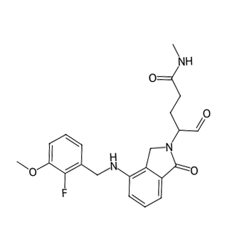 CNC(=O)CCC(C=O)N1Cc2c(NCc3cccc(OC)c3F)cccc2C1=O